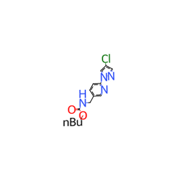 CCCCOC(=O)NCc1ccc(-n2cc(Cl)cn2)nc1